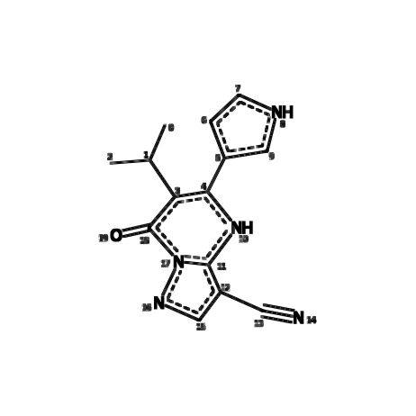 CC(C)c1c(-c2cc[nH]c2)[nH]c2c(C#N)cnn2c1=O